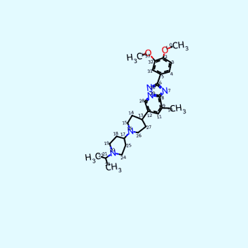 COc1ccc(-c2nc3c(C)cc(C4CCN(C5CCN(C(C)C)CC5)CC4)cn3n2)cc1OC